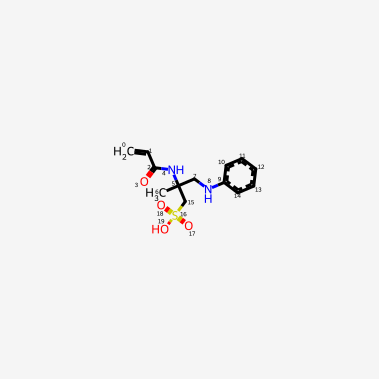 C=CC(=O)NC(C)(CNc1ccccc1)CS(=O)(=O)O